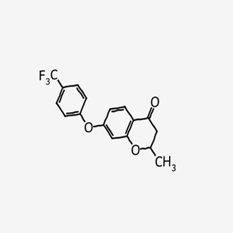 CC1CC(=O)c2ccc(Oc3ccc(C(F)(F)F)cc3)cc2O1